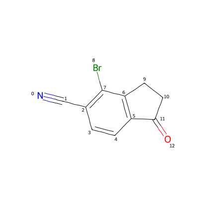 N#Cc1ccc2c(c1Br)CCC2=O